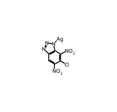 O=[N+]([O-])c1cc2nn[n]([Ag])c2c([N+](=O)[O-])c1Cl